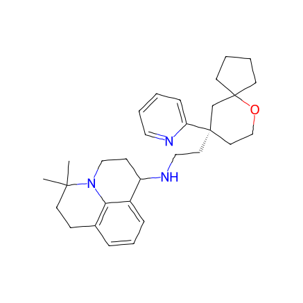 CC1(C)CCc2cccc3c2N1CCC3NCC[C@@]1(c2ccccn2)CCOC2(CCCC2)C1